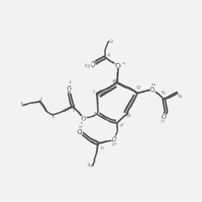 CCCC(=O)Oc1cc(OC(C)=O)c(OC(C)=O)cc1OC(C)=O